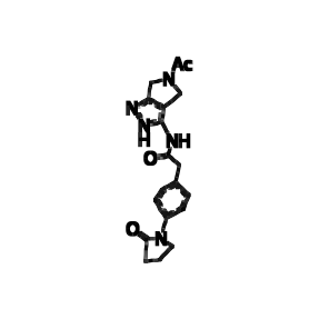 CC(=O)N1Cc2n[nH]c(NC(=O)Cc3ccc(N4CCCC4=O)cc3)c2C1